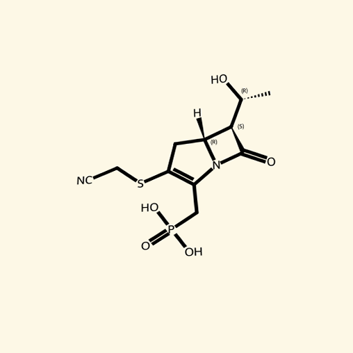 C[C@@H](O)[C@H]1C(=O)N2C(CP(=O)(O)O)=C(SCC#N)C[C@H]12